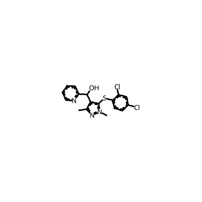 Cc1nn(C)c(Sc2ccc(Cl)cc2Cl)c1C(O)c1ccccn1